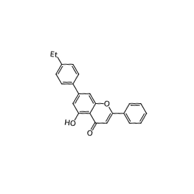 CCc1ccc(-c2cc(O)c3c(=O)cc(-c4ccccc4)oc3c2)cc1